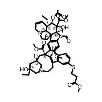 CC[C@]1(O)C[C@H]2CN(CCc3c([nH]c4ccc(SCCC(=O)OC)cc34)[C@@](C(=O)OC)(c3cc4c(cc3OC)N(C=O)[C@H]3[C@@](O)(C(=O)OC)[C@H](OC(C)=O)[C@]5(CC)C=CCN6CC[C@]43[C@@H]65)C2)C1